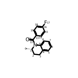 C[C@H]1CCc2ccccc2N1C(=O)c1ccc(F)cc1